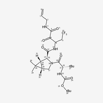 C=CCNC(=O)C(=O)C(CC(F)(F)F)NC(=O)[C@@H]1[C@@H]2[C@H](CN1C(=O)[C@@H](NC(=O)OC(C)(C)C)C(C)(C)C)C2(C)C